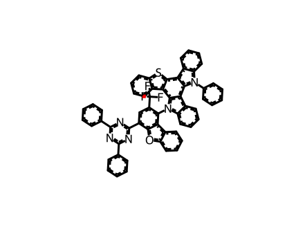 FC(F)(F)c1cc(-c2nc(-c3ccccc3)nc(-c3ccccc3)n2)c2oc3ccccc3c2c1-n1c2ccccc2c2c3c(c4ccccc4n3-c3ccccc3)c3sc4ccccc4c3c21